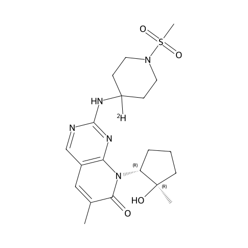 [2H]C1(Nc2ncc3cc(C)c(=O)n([C@@H]4CCC[C@@]4(C)O)c3n2)CCN(S(C)(=O)=O)CC1